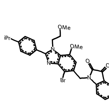 COCCn1c(-c2ccc(C(C)C)cc2)nc2c(Br)c(CN3C(=O)C(=O)c4ccccc43)cc(OC)c21